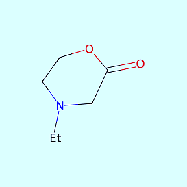 [CH2]CN1CCOC(=O)C1